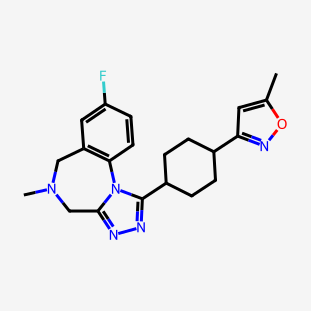 Cc1cc(C2CCC(c3nnc4n3-c3ccc(F)cc3CN(C)C4)CC2)no1